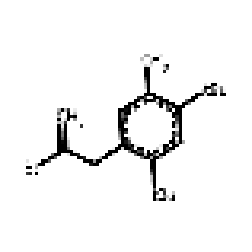 C=C(CC)Cc1cc(C)c(C(C)(C)C)cc1C(C)(C)C